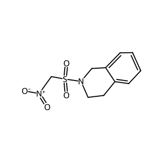 O=[N+]([O-])CS(=O)(=O)N1CCc2ccccc2C1